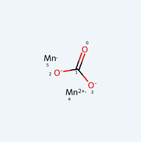 O=C([O-])[O-].[Mn+2].[Mn]